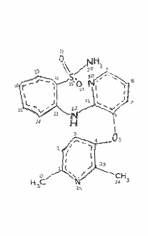 Cc1ccc(Oc2cccnc2Nc2ccccc2S(N)(=O)=O)c(C)n1